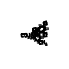 CC1CN(CC(=O)O)S(=O)(=O)N(c2c(Cl)cc(Cl)cc2Cl)C1